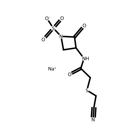 N#CCSCC(=O)NC1CN(S(=O)(=O)[O-])C1=O.[Na+]